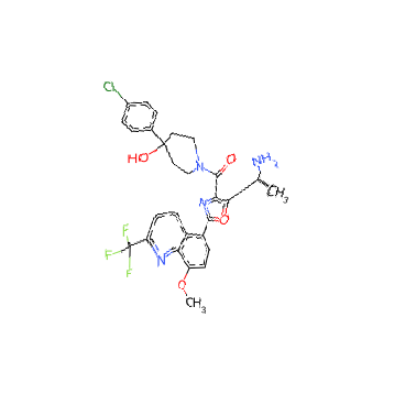 COc1ccc(-c2nc(C(=O)N3CCC(O)(c4ccc(Cl)cc4)CC3)c(C(C)N)o2)c2ccc(C(F)(F)F)nc12